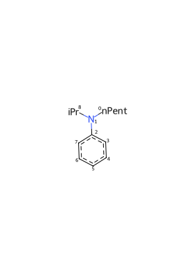 [CH2]CCCCN(c1ccccc1)C(C)C